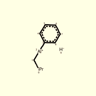 CC(C)[CH2][Al+][c]1ccccc1.[H-]